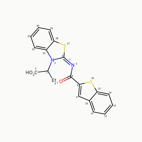 CCC(C(=O)O)n1/c(=N\C(=O)c2cc3ccccc3s2)sc2ccccc21